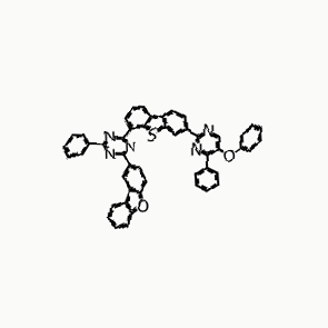 c1ccc(Oc2cnc(-c3ccc4c(c3)sc3c(-c5nc(-c6ccccc6)nc(-c6ccc7oc8ccccc8c7c6)n5)cccc34)nc2-c2ccccc2)cc1